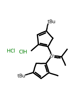 CC1=[C]([Zr]([C]2=C(C)C=C(C(C)(C)C)C2)=[C](C)C)CC(C(C)(C)C)=C1.Cl.Cl